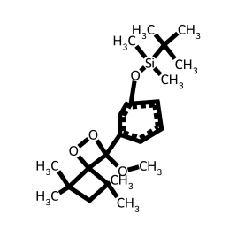 COC1(c2cccc(O[Si](C)(C)C(C)(C)C)c2)OOC12C(C)(C)CC2(C)C